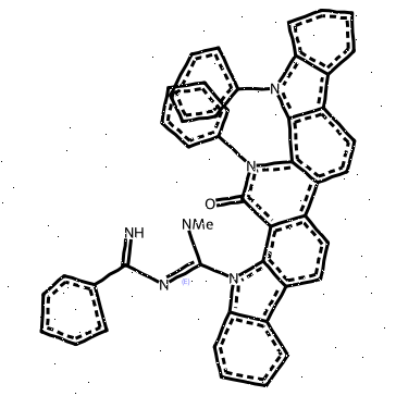 CN/C(=N\C(=N)c1ccccc1)n1c2ccccc2c2ccc3c4ccc5c6ccccc6n(-c6ccccc6)c5c4n(-c4ccccc4)c(=O)c3c21